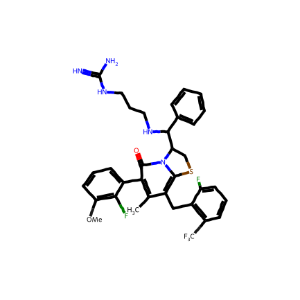 COc1cccc(-c2c(C)c(Cc3c(F)cccc3C(F)(F)F)c3n(c2=O)C(C(NCCCNC(=N)N)c2ccccc2)CS3)c1F